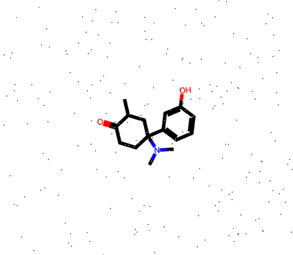 CC1CC(c2cccc(O)c2)(N(C)C)CCC1=O